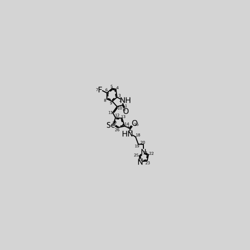 O=C1Nc2ccc(F)cc2C1=Cc1cc(C(=O)NCCCn2ccnc2)c[se]1